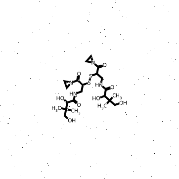 CC(C)(CO)C(O)C(=O)NCC(SSC(CNC(=O)C(O)C(C)(C)CO)C(=O)N1CC1)C(=O)N1CC1